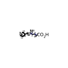 C=N/C(=C\C=C(/C)C(=O)O)OCc1cccnc1